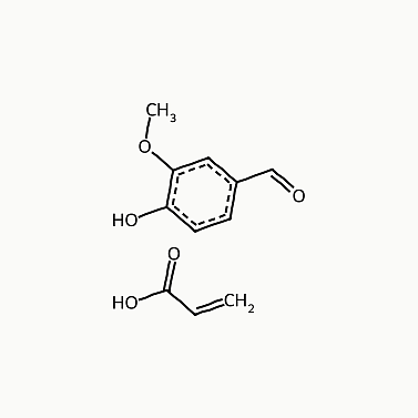 C=CC(=O)O.COc1cc(C=O)ccc1O